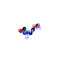 N=C(/C=C\c1ncc(-c2cccc(N3CCC(C(=O)Nc4ccon4)CC3)n2)[nH]1)N1CCOCC1c1cccc(F)c1